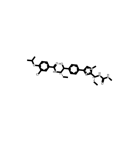 CC[C@H](NC(=O)c1ccc(OC(C)C)c(Cl)c1)C(O)c1ccc(-c2cn(C)c([C@@H](CC)NC(=O)NC)n2)cc1